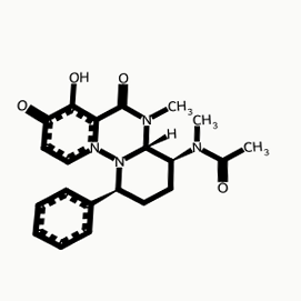 CC(=O)N(C)[C@H]1CC[C@@H](c2ccccc2)N2[C@@H]1N(C)C(=O)c1c(O)c(=O)ccn12